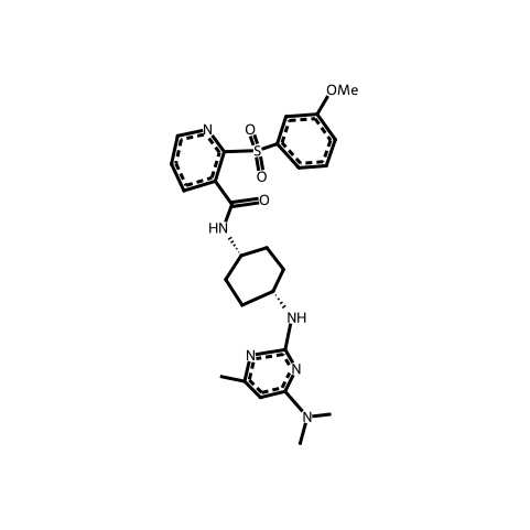 COc1cccc(S(=O)(=O)c2ncccc2C(=O)N[C@H]2CC[C@@H](Nc3nc(C)cc(N(C)C)n3)CC2)c1